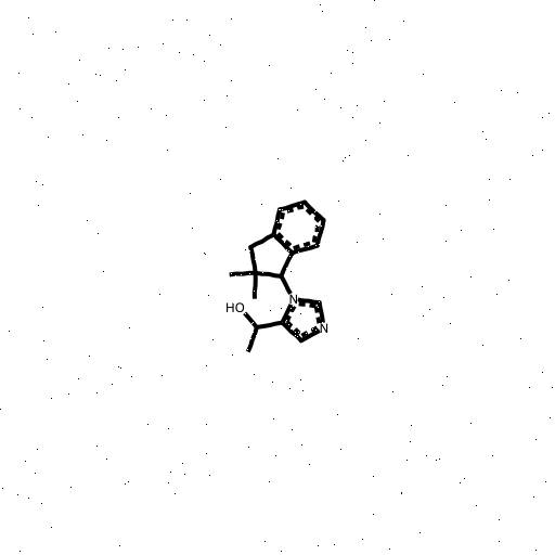 CC(O)c1cncn1C1c2ccccc2CC1(C)C